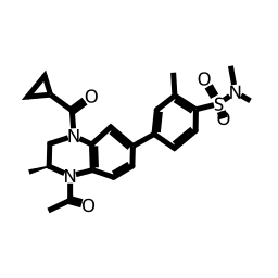 CC(=O)N1c2ccc(-c3ccc(S(=O)(=O)N(C)C)c(C)c3)cc2N(C(=O)C2CC2)C[C@@H]1C